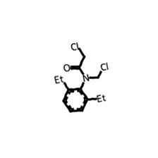 CCc1cccc(CC)c1N(CCl)C(=O)CCl